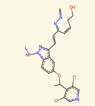 C=N/N=C(\C=C/CCO)/C=C/c1nn(PI)c2ccc(OC(C)c3c(Cl)cncc3Cl)cc12